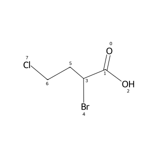 O=C(O)C(Br)CCCl